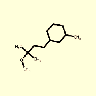 COC(C)(C)CCC1CCCC(C)C1